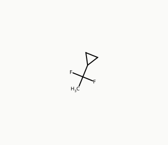 CC(F)(F)C1CC1